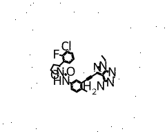 CCn1nc(C#Cc2cc(NC(=O)N3OCCC3c3cccc(Cl)c3F)ccc2C)c2c(N)ncnc21